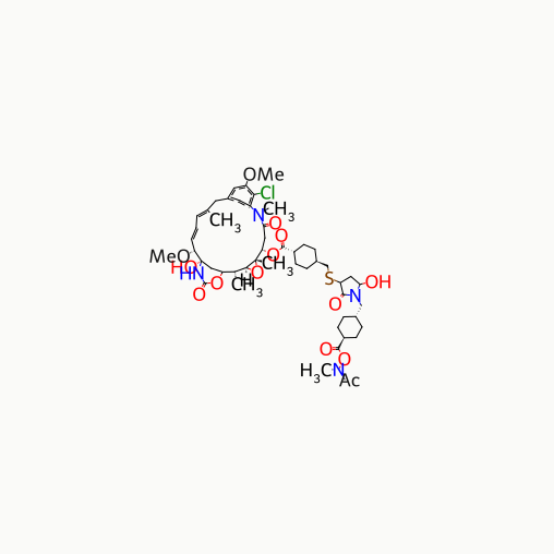 COc1cc2cc(c1Cl)N(C)C(=O)C[C@H](OC(=O)[C@H]1CC[C@H](CSC3CC(O)N(C[C@H]4CC[C@H](C(=O)ON(C)C(C)=O)CC4)C3=O)CC1)[C@]1(C)O[C@H]1[C@H](C)C1C[C@@](O)(NC(=O)O1)[C@H](OC)/C=C/C=C(\C)C2